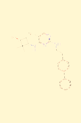 CC1(C)[C@@H](O)C[C@H]1Nc1nc(NCCc2ccc(-c3ccccc3)cc2)ncc1C#N